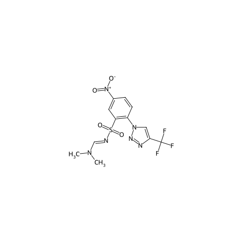 CN(C)/C=N/S(=O)(=O)c1cc([N+](=O)[O-])ccc1-n1cc(C(F)(F)F)nn1